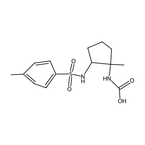 Cc1ccc(S(=O)(=O)NC2CCCC2(C)NC(=O)O)cc1